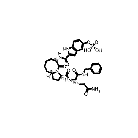 NC(=O)CC[C@H](NC(=O)[C@@H]1CC[C@@H]2CCCC[C@H](NC(=O)c3cc4cc(OP(=O)(O)O)ccc4[nH]3)C(=O)N21)C(=O)NCc1ccccc1